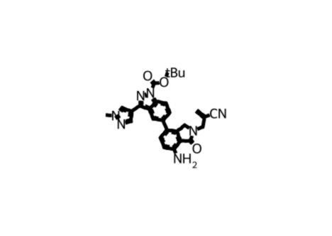 C=C(C#N)CN1Cc2c(-c3ccc4c(c3)c(-c3cnn(C)c3)nn4C(=O)OC(C)(C)C)ccc(N)c2C1=O